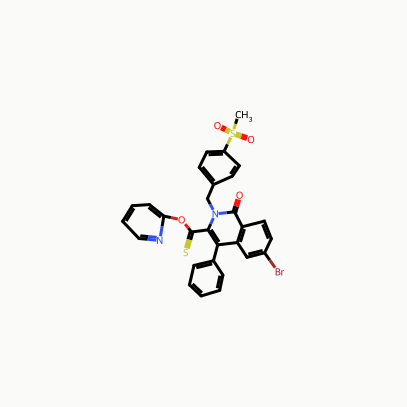 CS(=O)(=O)c1ccc(Cn2c(C(=S)Oc3ccccn3)c(-c3ccccc3)c3cc(Br)ccc3c2=O)cc1